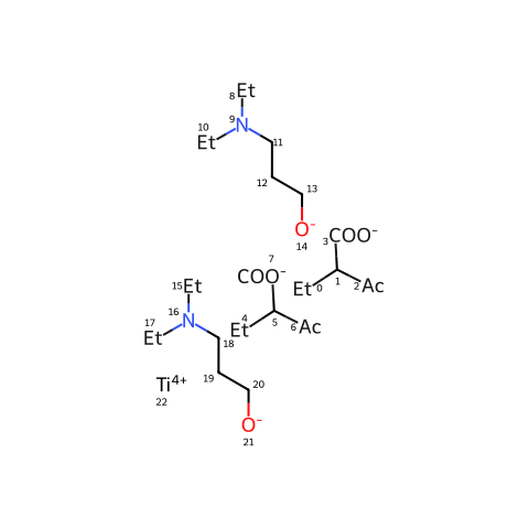 CCC(C(C)=O)C(=O)[O-].CCC(C(C)=O)C(=O)[O-].CCN(CC)CCC[O-].CCN(CC)CCC[O-].[Ti+4]